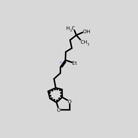 CC/C(=C\CCc1ccc2c(c1)OCO2)CCCC(C)(C)O